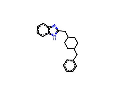 c1ccc(CC2CCC(Cc3nc4ccccc4[nH]3)CC2)cc1